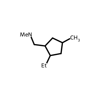 CCC1CC(C)CC1CNC